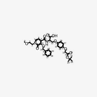 COCCn1ccc(C(=O)NC(COc2ccc(OCC(=O)OC(C)(C)C)cc2)C(=O)O)c(OCc2ccccc2)c1=O